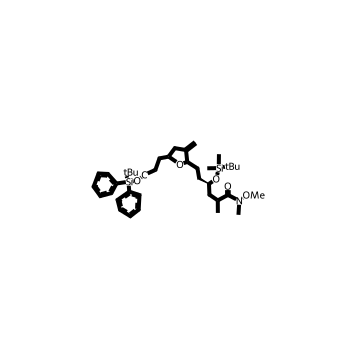 C=C1CC(CCCO[Si](c2ccccc2)(c2ccccc2)C(C)(C)C)OC1CC[C@H](CC(C)C(=O)N(C)OC)O[Si](C)(C)C(C)(C)C